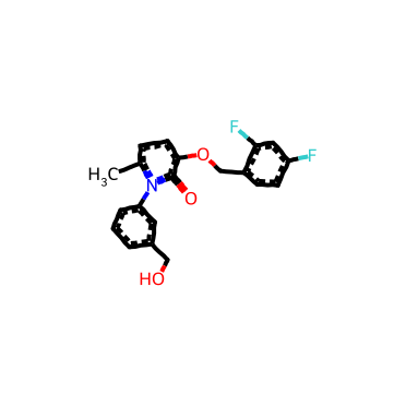 Cc1ccc(OCc2ccc(F)cc2F)c(=O)n1-c1cccc(CO)c1